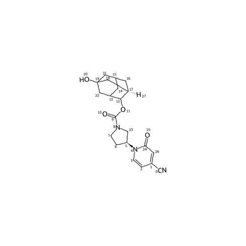 N#Cc1ccn([C@H]2CCN(C(=O)OC3C4CC5C[C@@H]3CC(O)(C5)C4)C2)c(=O)c1